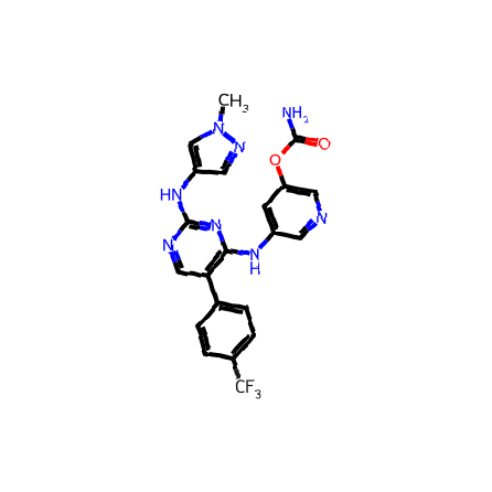 Cn1cc(Nc2ncc(-c3ccc(C(F)(F)F)cc3)c(Nc3cncc(OC(N)=O)c3)n2)cn1